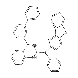 c1ccc(-c2cccc(C3NC(n4c5ccccc5c5cc6sc7ccccc7c6cc54)Nc4ccccc43)c2)cc1